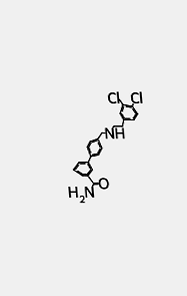 NC(=O)c1cccc(-c2ccc(CNCCc3ccc(Cl)c(Cl)c3)cc2)c1